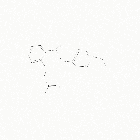 C=C(C)COc1ccccc1C(=O)Oc1ccc(CC)cc1